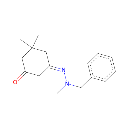 CN(Cc1ccccc1)/N=C1\CC(=O)CC(C)(C)C1